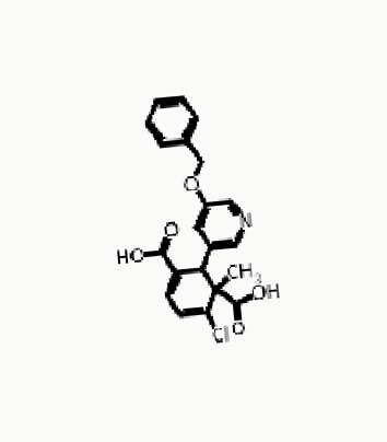 CC1(C(=O)O)C(Cl)=CC=C(C(=O)O)C1c1cncc(OCc2ccccc2)c1